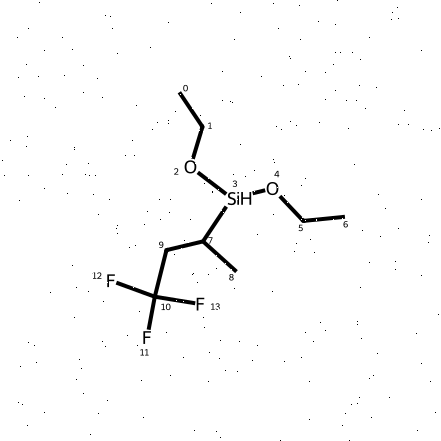 CCO[SiH](OCC)C(C)CC(F)(F)F